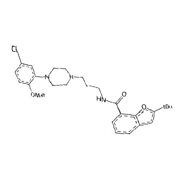 COc1ccc(Cl)cc1N1CCN(CCCNC(=O)c2cccc3cc(C(C)(C)C)oc23)CC1